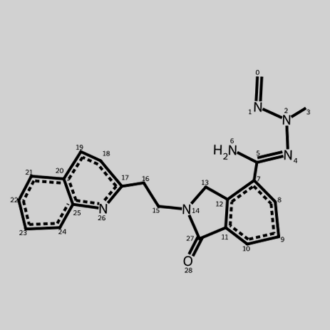 C=NN(C)/N=C(\N)c1cccc2c1CN(CCc1ccc3ccccc3n1)C2=O